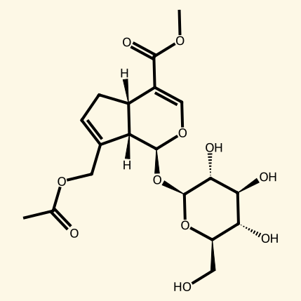 COC(=O)C1=CO[C@@H](O[C@@H]2O[C@H](CO)[C@@H](O)[C@H](O)[C@H]2O)[C@@H]2C(COC(C)=O)=CC[C@H]12